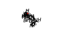 CC(NC(=O)Cn1ncc(N[C@@H]2C[C@@H]3C[C@H]([C@H]2C)C3(C)C)c(Br)c1=O)c1ccncc1